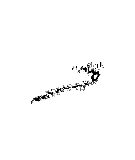 CC(CN(C)Cl)c1cccc(NC(=O)NCCOCCOCCOCCN=[N+]=[N-])c1